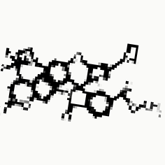 COC(=O)c1ccc2c(c1)C1(c3ccc(N4CCC4)cc3Oc3cc(N4CCC4)ccc31)N(c1ccc3c(C(F)(F)F)cc(=O)oc3c1)C2=O